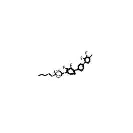 CCCCCC1OCC(c2ccc(-c3ccc(-c4ccc(C)c(F)c4F)cc3)c(F)c2F)CO1